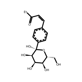 CCC(=O)/C=C\c1ccc([C@@]2(O)O[C@H](CO)[C@@H](O)[C@@H](O)[C@H]2O)cc1